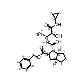 CCC[C@H](NC(=O)[C@@H]1[C@H]2CCC[C@H]2CN1C(=O)OCc1ccccc1)C(O)C(=O)NC1CC1